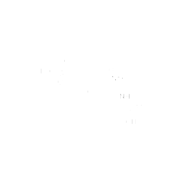 CS(=O)(=O)CCCOc1cc([N+](=O)[O-])c2[nH]c(C(=O)O)cc2c1